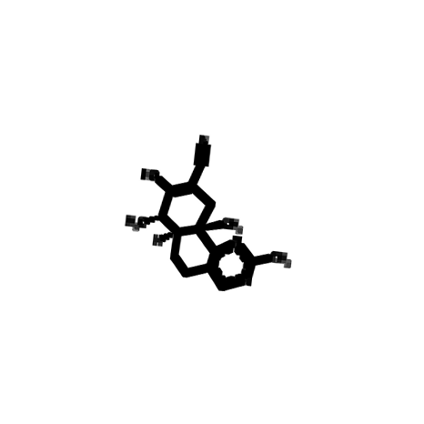 Cc1ncc2c(n1)[C@@]1(C)CC(C#N)=C(O)[C@@H](C)[C@@H]1CC2